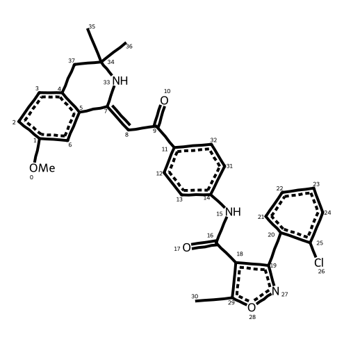 COc1ccc2c(c1)C(=CC(=O)c1ccc(NC(=O)c3c(-c4ccccc4Cl)noc3C)cc1)NC(C)(C)C2